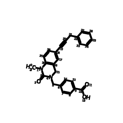 CN1C(=O)N(Cc2ccc(C(=O)O)cc2)Cc2cc(C#CCc3ccccc3)ccc21